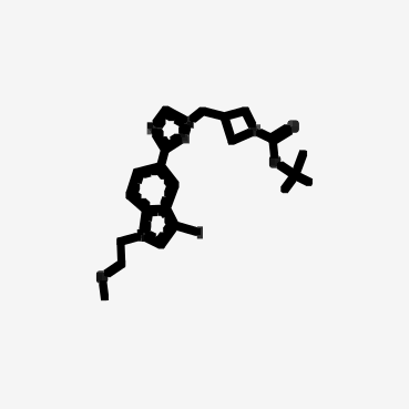 COCCn1cc(I)c2cc(-c3ncn(CC4CN(C(=O)OC(C)(C)C)C4)n3)ccc21